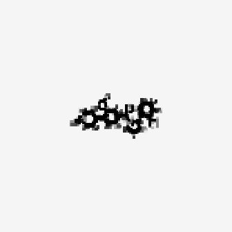 COc1cc(C(=O)N2CCC[C@@H]2c2ccccc2Cl)ccc1C1CCN(C)CC1